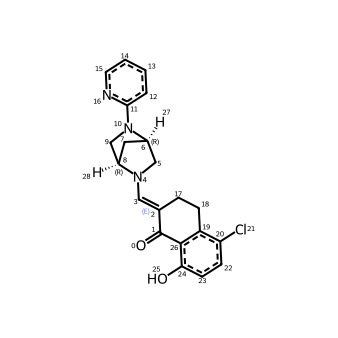 O=C1/C(=C/N2C[C@H]3C[C@@H]2CN3c2ccccn2)CCc2c(Cl)ccc(O)c21